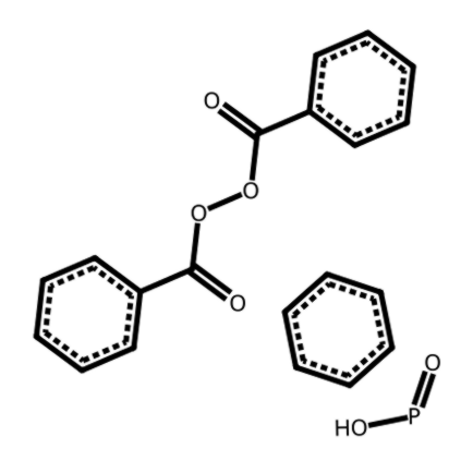 O=C(OOC(=O)c1ccccc1)c1ccccc1.O=PO.c1ccccc1